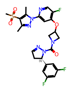 Cc1nn(-c2cc(OC3CN(C(=O)N4N=CC[C@H]4c4cc(F)cc(F)c4)C3)c(F)cn2)c(C)c1S(C)(=O)=O